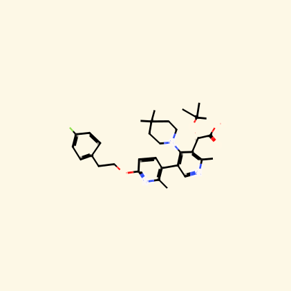 Cc1nc(OCCc2ccc(F)cc2)ccc1-c1cnc(C)c([C@H](OC(C)(C)C)C(=O)O)c1N1CCC(C)(C)CC1